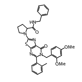 COc1ccc(Cn2c(-c3ccccc3C)nc3sc(N4CCCC4C(=O)NCc4ccccc4)nc3c2=O)c(OC)c1